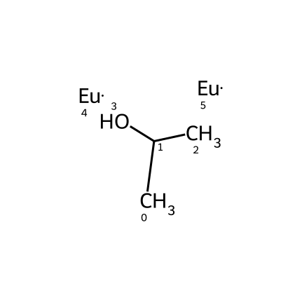 CC(C)O.[Eu].[Eu]